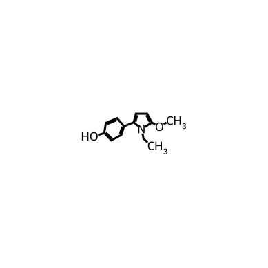 CCn1c(OC)ccc1-c1ccc(O)cc1